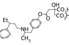 CCC(CCNC(C)Cc1ccc(OC(=O)CC(O)(CC(=O)O)C(=O)O)cc1)c1ccccc1